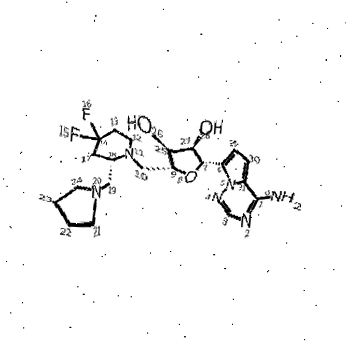 Nc1ncnn2c([C@@H]3O[C@H](CN4CCC(F)(F)C[C@H]4CN4CCCC4)[C@@H](O)[C@H]3O)ccc12